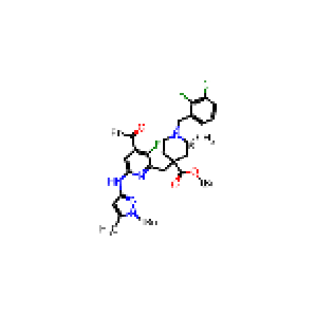 CCC(=O)c1cc(Nc2cc(C)n(C(C)(C)C)n2)nc(CC2(C(=O)OC(C)(C)C)CCN(Cc3cccc(Cl)c3F)[C@H](C)C2)c1F